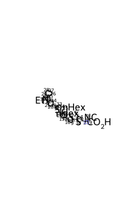 [C-]#[N+]/C(=C\c1cc(CCCCCC)c(-c2ccc(-c3ccc(-c4sc(-c5ccc6c(c5)c5ccccc5n6CC)cc4CCCCCC)s3)s2)s1)C(=O)O